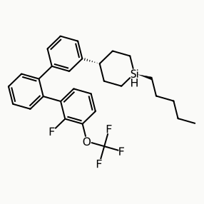 CCCCC[Si@H]1CC[C@H](c2cccc(-c3ccccc3-c3cccc(OC(F)(F)F)c3F)c2)CC1